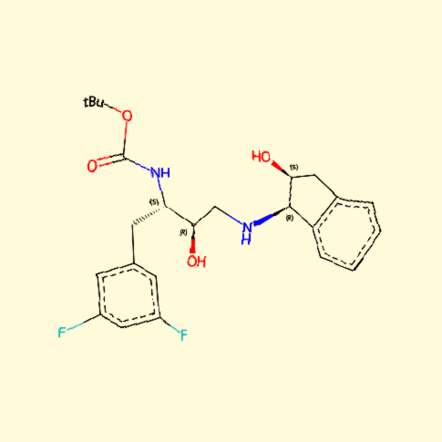 CC(C)(C)OC(=O)N[C@@H](Cc1cc(F)cc(F)c1)[C@H](O)CN[C@@H]1c2ccccc2C[C@@H]1O